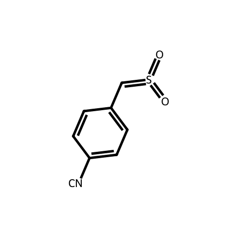 [C-]#[N+]c1ccc(C=S(=O)=O)cc1